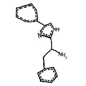 NC(Cc1ccccc1)c1nc(-c2ccccc2)c[nH]1